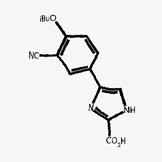 CC(C)COc1ccc(-c2c[nH]c(C(=O)O)n2)cc1C#N